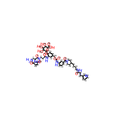 NC[C@@H](C(=O)NCCC(=O)Nc1cc(COC(=O)Nc2cccc(C(=O)N3CCC(CCCCNC(=O)/C=C/c4cccnc4)CC3)c2)ccc1O[C@@H]1O[C@H](C(=O)O)[C@@H](O)[C@H](O)[C@H]1O)N1C(=O)C=CC1=O